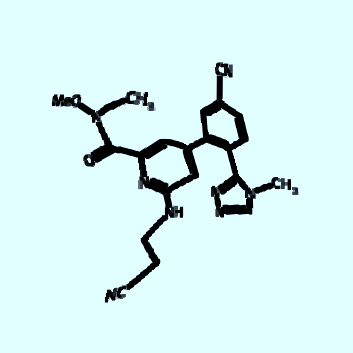 CON(C)C(=O)c1cc(-c2cc(C#N)ccc2-c2nncn2C)cc(NCCC#N)n1